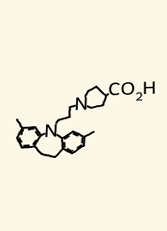 Cc1ccc2c(c1)N(CCCN1CCC(C(=O)O)CC1)c1cc(C)ccc1CC2